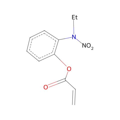 C=CC(=O)Oc1ccccc1N(CC)[N+](=O)[O-]